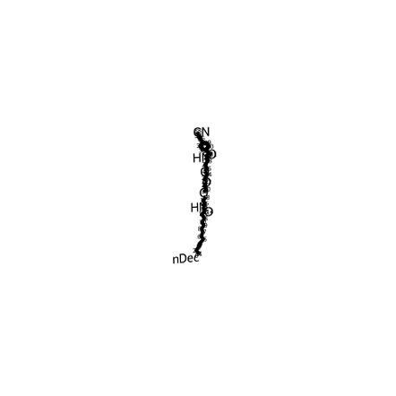 CCCCCCCCCCCCC#CCCCCCCCCC(=O)NCCCOCCOCCOCCCNC(=O)c1ccc(C#CC#N)cc1